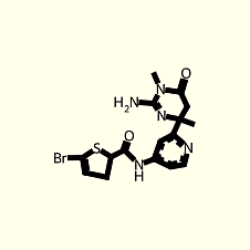 CN1C(=O)CC(C)(c2cc(NC(=O)C3CC=C(Br)S3)ccn2)N=C1N